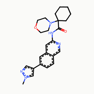 Cn1cc(-c2ccc3cnc(NC(=O)C4(N5CCOCC5)CCCCC4)cc3c2)cn1